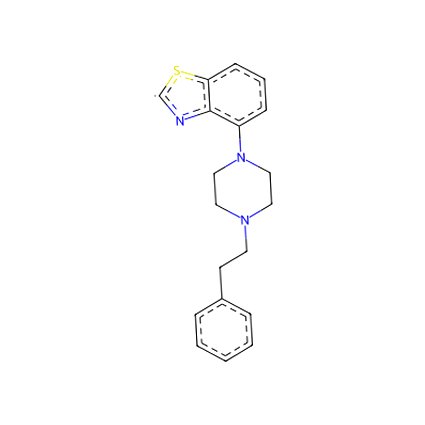 [c]1nc2c(N3CCN(CCc4ccccc4)CC3)cccc2s1